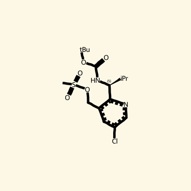 CC(C)[C@H](NC(=O)OC(C)(C)C)c1ncc(Cl)cc1COS(C)(=O)=O